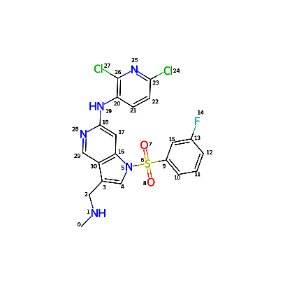 CNCc1cn(S(=O)(=O)c2cccc(F)c2)c2cc(Nc3ccc(Cl)nc3Cl)ncc12